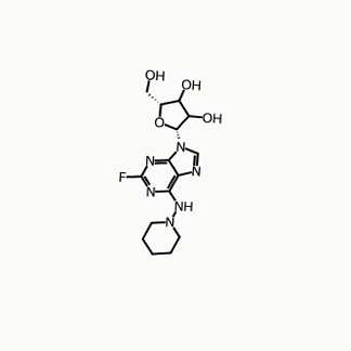 OC[C@H]1O[C@@H](n2cnc3c(NN4CCCCC4)nc(F)nc32)C(O)C1O